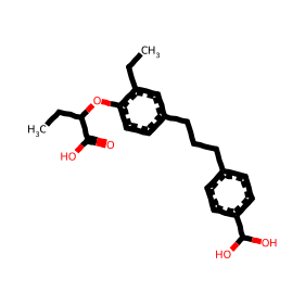 CCc1cc(CCCc2ccc(C(O)O)cc2)ccc1OC(CC)C(=O)O